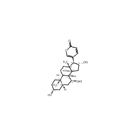 C[C@]12CC[C@H](O)C[C@H]1C[C@H](O)[C@@H]1[C@@H]2CC[C@]2(C)[C@@H](c3ccc(=O)oc3)[C@H](O)C[C@]12O